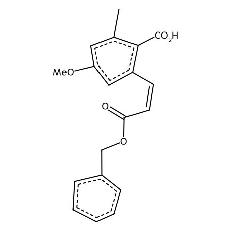 COc1cc(C)c(C(=O)O)c(/C=C\C(=O)OCc2ccccc2)c1